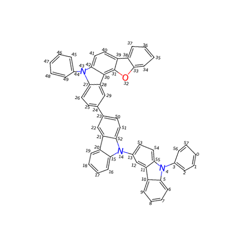 c1ccc(-n2c3ccccc3c3cc(-n4c5ccccc5c5cc(-c6ccc7c(c6)c6c8oc9ccccc9c8ccc6n7-c6ccccc6)ccc54)ccc32)cc1